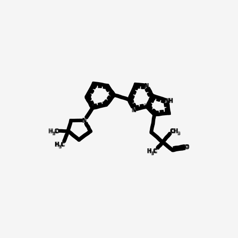 CC(C)(C=O)Cc1c[nH]c2ncc(-c3cccc(N4CCC(C)(C)C4)c3)nc12